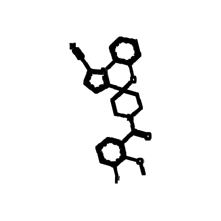 COc1c(F)cccc1C(=O)N1CCC2(CC1)Oc1ccccc1-n1c(C#N)ccc12